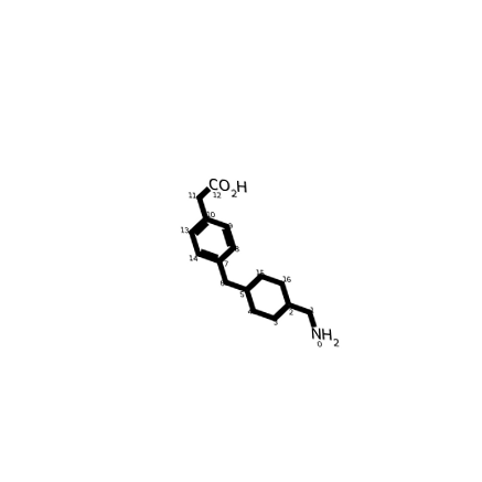 NCC1CCC(Cc2ccc(CC(=O)O)cc2)CC1